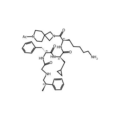 CC(=O)N1CCC2(CC1)CN(C(=O)[C@@H](CCCCCN)NC(=O)[C@@H](CC1CC1)NC(=O)[C@@H](Cc1ccccc1)NC(=O)CNC[C@H](C)c1ccccc1)C2